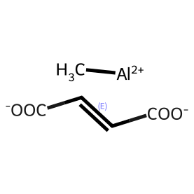 O=C([O-])/C=C/C(=O)[O-].[CH3][Al+2]